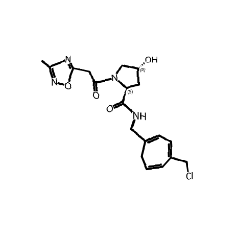 Cc1noc(CC(=O)N2C[C@H](O)C[C@H]2C(=O)NCC2=CC=C(CCl)C=CC2)n1